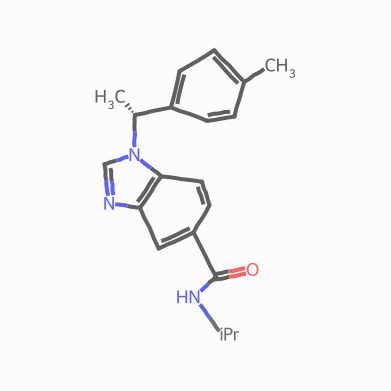 Cc1ccc([C@@H](C)n2cnc3cc(C(=O)NC(C)C)ccc32)cc1